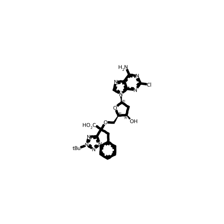 CC(C)(C)n1nnc(C(Cc2ccccc2)(OC[C@H]2O[C@@H](n3cnc4c(N)nc(Cl)nc43)C[C@H]2O)C(=O)O)n1